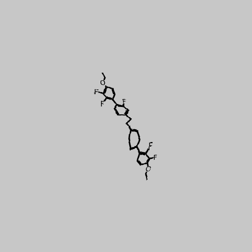 CCOc1ccc(-c2ccc(CCC3CCC(c4ccc(OCC)c(F)c4F)CC3)cc2F)c(F)c1F